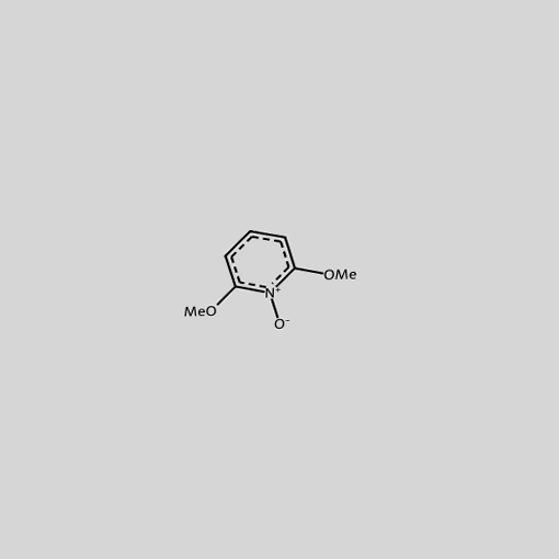 COc1cccc(OC)[n+]1[O-]